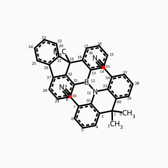 CC1(C)c2cccc(C#N)c2N(B2c3ccccc3C3(C)c4ccccc4-c4cccc2c43)c2c(C#N)cccc21